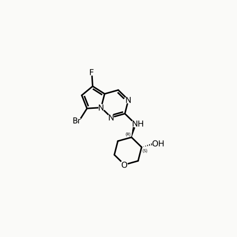 O[C@@H]1COCC[C@H]1Nc1ncc2c(F)cc(Br)n2n1